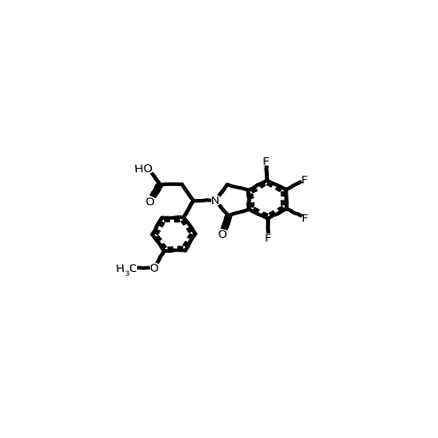 COc1ccc(C(CC(=O)O)N2Cc3c(F)c(F)c(F)c(F)c3C2=O)cc1